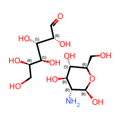 N[C@@H]1[C@@H](O)[C@H](O)[C@@H](CO)O[C@H]1O.O=C[C@H](O)[C@@H](O)[C@@H](O)[C@H](O)CO